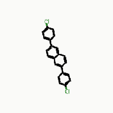 Clc1ccc(-c2ccc3cc(-c4ccc(Cl)cc4)ccc3c2)cc1